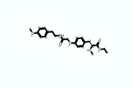 CCOC(=O)[C@H](Cc1ccc(OCC(=O)NCCc2ccc(OC)cc2)cc1)OC